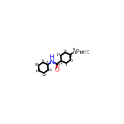 CCCCCC1CCC(C(=O)NC2CCCCC2)CC1